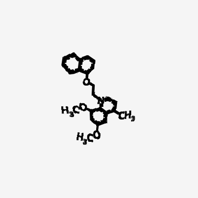 COc1cc(OC)c2c(c1)c(C)cc[n+]2CCOc1cccc2ccccc12